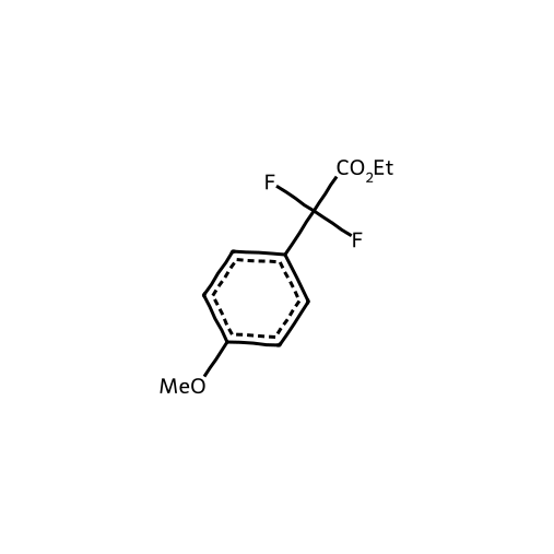 CCOC(=O)C(F)(F)c1ccc(OC)cc1